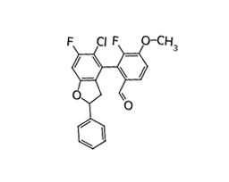 COc1ccc(C=O)c(-c2c(Cl)c(F)cc3c2CC(c2ccccc2)O3)c1F